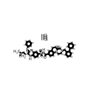 CN(C)CC[C@H](CSc1ccccc1)Nc1ccc(S(=O)(=O)NC(=O)c2ccc3c(c2)CC[C@H]2CN(Cc4ccccc4-c4ccccc4)CCN32)cc1[N+](=O)[O-].Cl.Cl.Cl